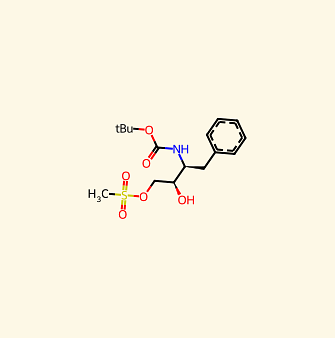 CC(C)(C)OC(=O)N[C@@H](Cc1ccccc1)[C@@H](O)COS(C)(=O)=O